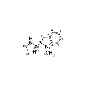 CN1c2ccccc2CC1C1=NCCN1